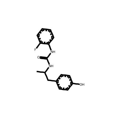 CC(Cc1ccc(O)cc1)NC(=O)Nc1ccccc1F